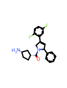 N[C@H]1CC[C@@H](C(=O)N2CC(c3cc(F)ccc3F)=CC2c2ccccc2)C1